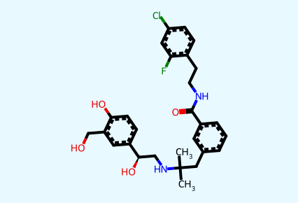 CC(C)(Cc1cccc(C(=O)NCCc2ccc(Cl)cc2F)c1)NC[C@@H](O)c1ccc(O)c(CO)c1